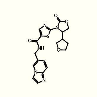 O=C(NCc1ccc2nccn2c1)c1cnc(N2C(=O)OCC2C2CCOC2)s1